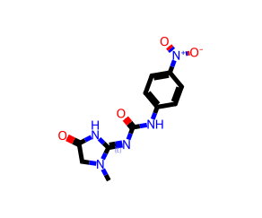 CN1CC(=O)N/C1=N\C(=O)Nc1ccc([N+](=O)[O-])cc1